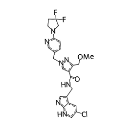 COCc1nn(Cc2ccc(N3CCC(F)(F)C3)nc2)cc1C(=O)NCc1cnc2[nH]cc(Cl)cc1-2